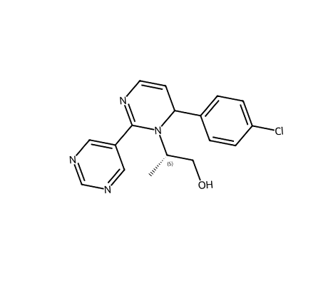 C[C@@H](CO)N1C(c2cncnc2)=NC=CC1c1ccc(Cl)cc1